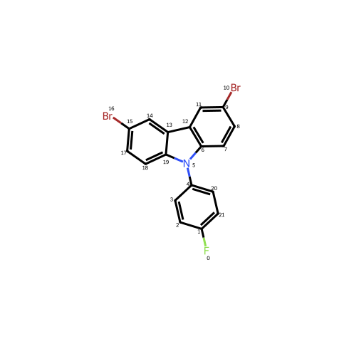 Fc1ccc(-n2c3ccc(Br)cc3c3cc(Br)ccc32)cc1